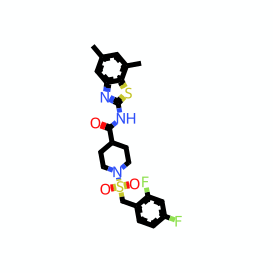 Cc1cc(C)c2sc(NC(=O)C3CCN(S(=O)(=O)Cc4ccc(F)cc4F)CC3)nc2c1